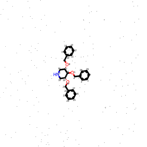 c1ccc(COC2[C@@H](OCc3ccccc3)CNC[C@H]2OCc2ccccc2)cc1